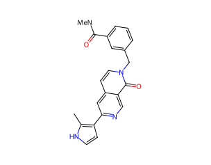 CNC(=O)c1cccc(Cn2ccc3cc(-c4cc[nH]c4C)ncc3c2=O)c1